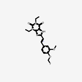 CCn1c(=O)c2[nH]c(/C=C/c3ccc(OCF)c(OC)c3)nc2n(CC)c1=O